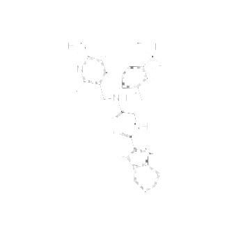 Cc1nc(N)ccc1CNC(=O)[C@H](Cc1cccc(C(F)(F)F)c1)NC(=O)c1cc2ccccc2[nH]1